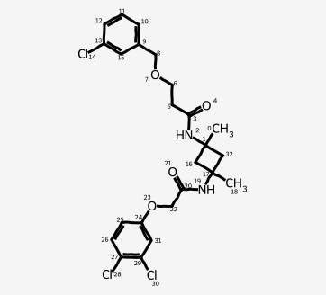 CC1(NC(=O)CCOCc2cccc(Cl)c2)CC(C)(NC(=O)COc2ccc(Cl)c(Cl)c2)C1